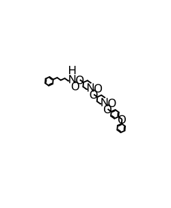 O=C(NCCCCc1ccccc1)OC1CCN(C(=O)OC2CCN(C(=O)Oc3ccc(Oc4ccccc4)cc3)CC2)CC1